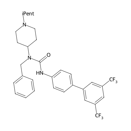 CCCC(C)N1CCC(N(Cc2ccccc2)C(=O)Nc2ccc(-c3cc(C(F)(F)F)cc(C(F)(F)F)c3)cc2)CC1